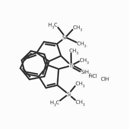 C[Si](C)(C)C1=Cc2ccccc2[CH]1[Ti]([CH3])([CH3])(=[SiH2])[CH]1C([Si](C)(C)C)=Cc2ccccc21.Cl.Cl